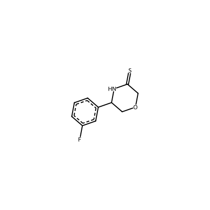 Fc1cccc(C2COCC(=S)N2)c1